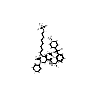 CCS(=O)(=O)OCCCCCCCN1C(=O)N(C2CCOCC2)Cc2c(N[C@H](C)c3cccc(C(F)(F)C4CCN(C(=O)O)CC4)c3)ncnc21